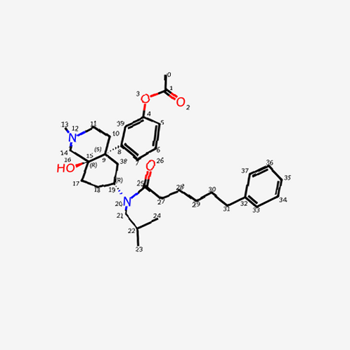 CC(=O)Oc1cccc([C@@]23CCN(C)C[C@@]2(O)CC[C@@H](N(CC(C)C)C(=O)CCCCCc2ccccc2)C3)c1